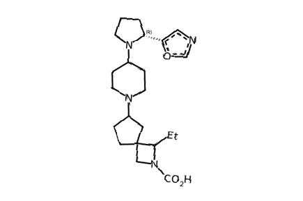 CCC1N(C(=O)O)CC12CCC(N1CCC(N3CCC[C@@H]3c3cnco3)CC1)C2